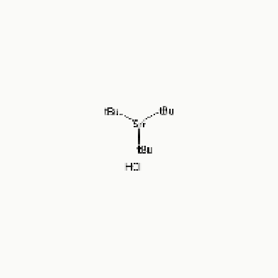 C[C](C)(C)[Sn]([C](C)(C)C)[C](C)(C)C.Cl